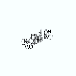 C[C@]12C[C@H](N3CCCCC3)[C@@H](O)C[C@@H]1CC[C@@H]1[C@@H]2CC[C@]2(C)[C@H](O)[C@@H](N3CCCCC3)C[C@@H]12